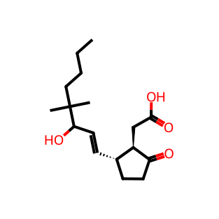 CCCCC(C)(C)C(O)/C=C/[C@H]1CCC(=O)[C@@H]1CC(=O)O